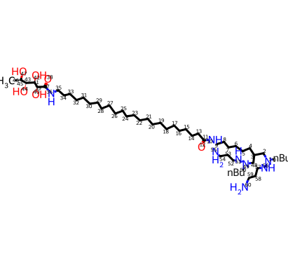 CCCCN(CC(CCCCCCNC(=O)CCCCCCCCCCCCCCCCCCCCCCCNC(=O)[C@H](O)[C@@H](O)[C@H](O)[C@@H](C)O)CN(CCCC)NCCCN)NCCCN